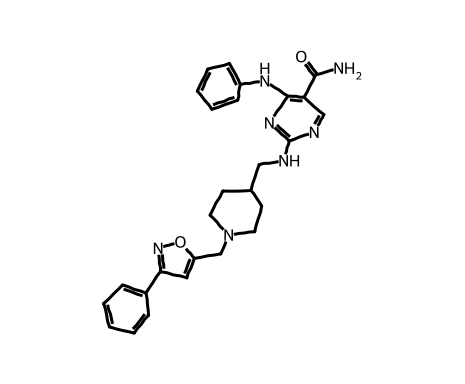 NC(=O)c1cnc(NCC2CCN(Cc3cc(-c4ccccc4)no3)CC2)nc1Nc1ccccc1